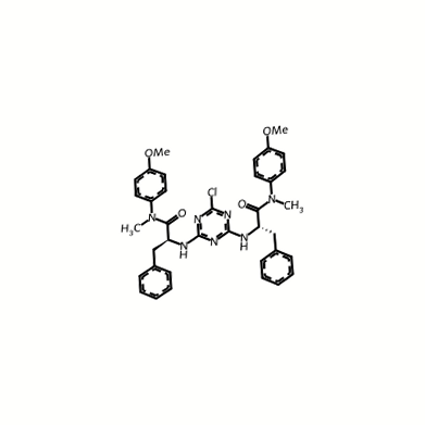 COc1ccc(N(C)C(=O)[C@H](Cc2ccccc2)Nc2nc(Cl)nc(N[C@@H](Cc3ccccc3)C(=O)N(C)c3ccc(OC)cc3)n2)cc1